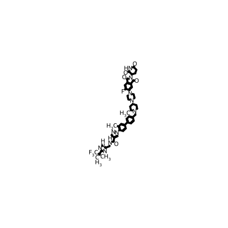 Cc1cc(-c2ccc(CN3CC[C@@H](N4CCN(c5cc6c(cc5F)C(=O)N(C5CCC(=O)NC5=O)C6=O)CC4)C[C@H]3C)cc2)ccc1-n1cc(C(=O)NCc2nc(C(C)(C)C(F)(F)F)n[nH]2)cn1